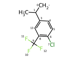 [CH2]C(C)c1ccc(Cl)c(C(F)(F)F)c1